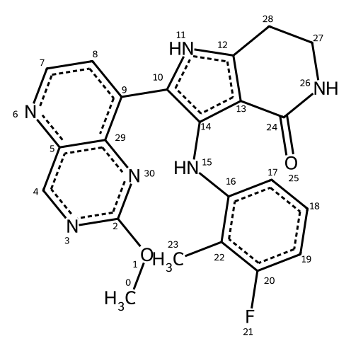 COc1ncc2nccc(-c3[nH]c4c(c3Nc3cccc(F)c3C)C(=O)NCC4)c2n1